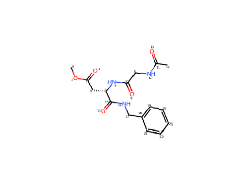 COC(=O)C[C@H](NC(=O)CNC(C)=O)C(=O)NCc1ccccc1